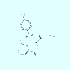 CCOC(=O)C1CC(=O)C(=CN(C)C)C(CC)N1S(=O)(=O)c1ccc(Cl)cc1